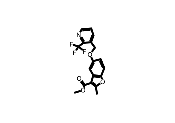 COC(=O)c1c(C)oc2ccc(OCc3cccnc3C(F)(F)F)cc12